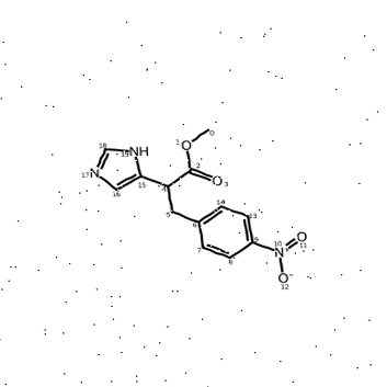 COC(=O)C(Cc1ccc([N+](=O)[O-])cc1)c1cnc[nH]1